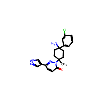 CC1(n2nc(-c3cn[nH]c3)ccc2=O)CCC(N)(c2cccc(Cl)c2)CC1